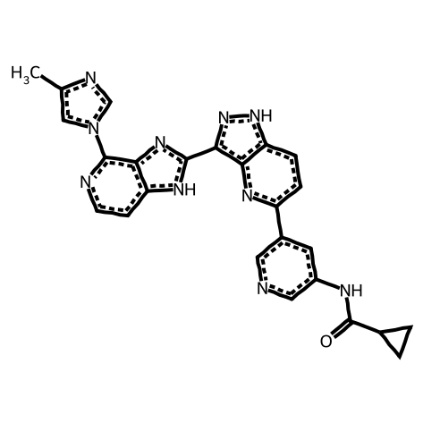 Cc1cn(-c2nccc3[nH]c(-c4n[nH]c5ccc(-c6cncc(NC(=O)C7CC7)c6)nc45)nc23)cn1